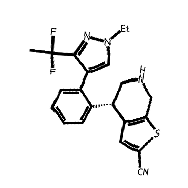 CCn1cc(-c2ccccc2[C@@H]2CNCc3sc(C#N)cc32)c(C(C)(F)F)n1